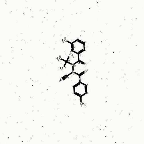 Cc1ccc(C(=O)N(C#N)N(C(=O)c2cccc(C)c2)C(C)(C)C)cc1